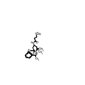 CCCCCCCCCCCCC(=O)NC1CC(C)(C)N(OC(C)c2ccccc2)C(CC)(CC)C1